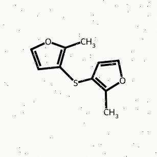 Cc1occc1Sc1ccoc1C